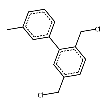 Cc1cccc(-c2cc(CCl)ccc2CCl)c1